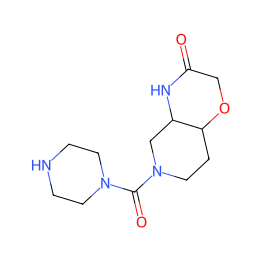 O=C1COC2CCN(C(=O)N3CCNCC3)CC2N1